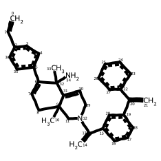 C=Cc1ccc(C2=CCC3(C)CN(C(=C)c4cccc(C(=C)c5ccccc5)c4)CC=C3C2(C)N)cc1